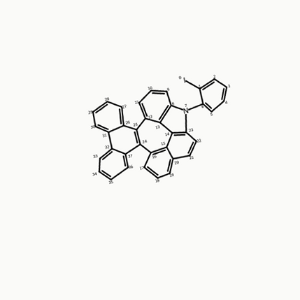 Ic1ccccc1-n1c2cccc3c2c2c4c(cccc4ccc21)-c1c-3c2ccccc2c2ccccc12